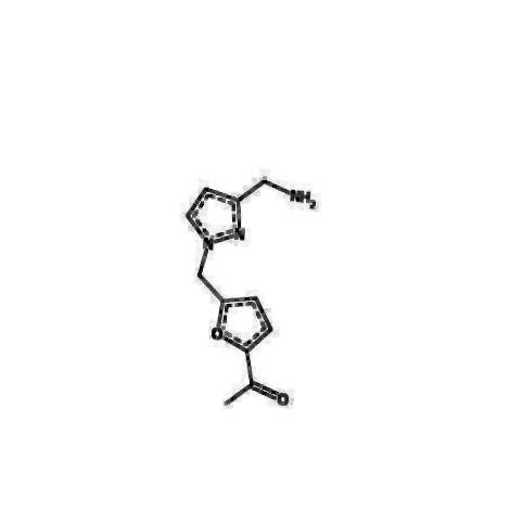 CC(=O)c1ccc(Cn2ccc([CH]N)n2)o1